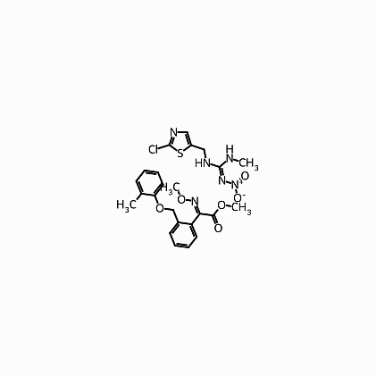 CN/C(=N\[N+](=O)[O-])NCc1cnc(Cl)s1.CO/N=C(/C(=O)OC)c1ccccc1COc1ccccc1C